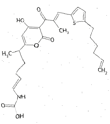 C=CCCCCc1ccc(/C=C(\C)C(=O)c2c(O)cc(C(C)CC/C=C/NC(=O)O)oc2=O)s1